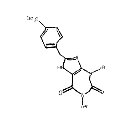 CCCn1c(=O)c2[nH]c(-c3ccc(C(=O)OCC)cc3)nc2n(CCC)c1=O